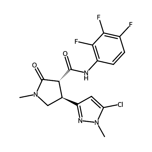 CN1C[C@H](c2cc(Cl)n(C)n2)[C@@H](C(=O)Nc2ccc(F)c(F)c2F)C1=O